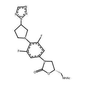 CC(=O)NC[C@H]1CN(c2cc(F)c(N3CCC(n4ncnn4)C3)c(F)c2)C(=O)O1